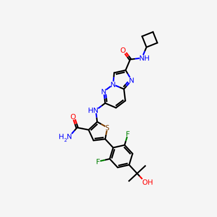 CC(C)(O)c1cc(F)c(-c2cc(C(N)=O)c(Nc3ccc4nc(C(=O)NC5CCC5)cn4n3)s2)c(F)c1